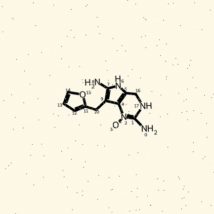 NC1=[N+]([O-])c2c([nH]c(N)c2Cc2ccco2)CN1